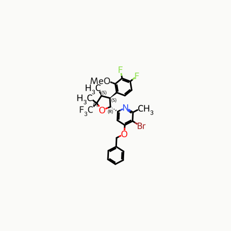 COc1c([C@H]2[C@H](c3cc(OCc4ccccc4)c(Br)c(C)n3)O[C@@](C)(C(F)(F)F)[C@H]2C)ccc(F)c1F